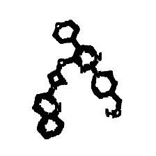 OCC1CCN(c2ncc(C3CCOCC3)c(OC3CN(c4ccc5ccccc5n4)C3)n2)CC1